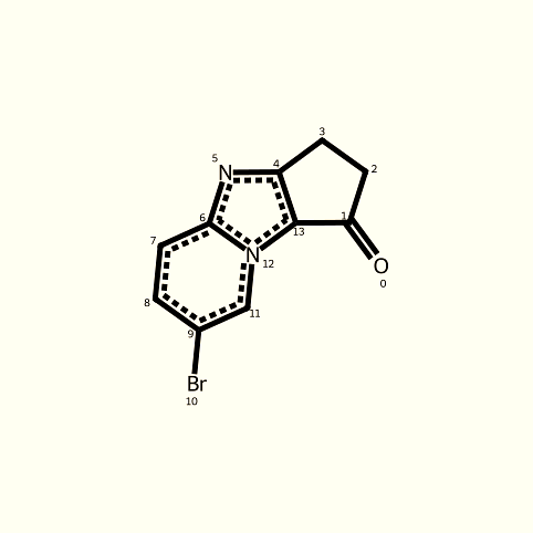 O=C1CCc2nc3ccc(Br)cn3c21